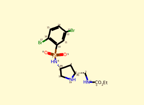 CCOC(=O)NC[C@H]1C[C@@H](NS(=O)(=O)c2cc(Br)ccc2Br)CN1